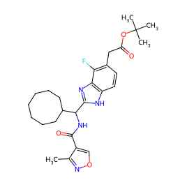 Cc1nocc1C(=O)NC(c1nc2c(F)c(CC(=O)OC(C)(C)C)ccc2[nH]1)C1CCCCCCC1